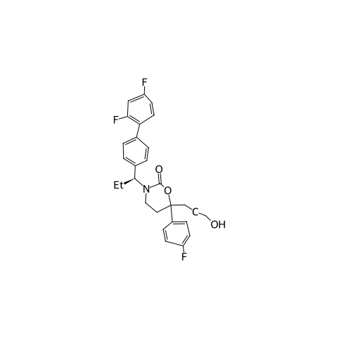 CC[C@@H](c1ccc(-c2ccc(F)cc2F)cc1)N1CCC(CCCO)(c2ccc(F)cc2)OC1=O